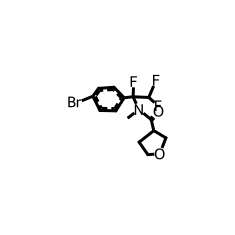 CN(C(=O)C1CCOC1)C(F)(c1ccc(Br)cc1)C(F)F